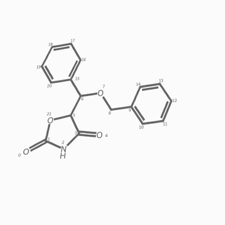 O=C1NC(=O)C(C(OCc2ccccc2)c2ccccc2)O1